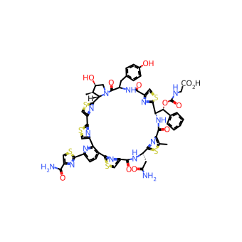 Cc1sc2nc1C(=O)N[C@@H]([C@H](OC(=O)NCC(=O)O)c1ccccc1)c1nc(cs1)C(=O)NC(Cc1ccc(O)cc1)C(=O)N1C[C@H](O)[C@H](C)[C@H]1c1nc(cs1)-c1nc(cs1)-c1nc(-c3nc(C(N)=O)cs3)ccc1-c1nc(cs1)C(=O)N[C@H]2CC(N)=O